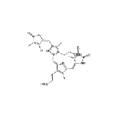 CCC1=C(C)C(=CC2=NC(=Cc3[nH]c(C=C4NC(=O)C(C)=C4CC)c(C)c3CCC(=O)O)C(CCC(=O)O)=C2C)NC1=O